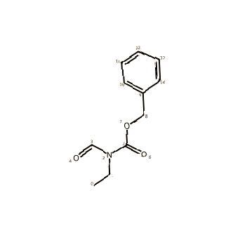 CCN([C]=O)C(=O)OCc1ccccc1